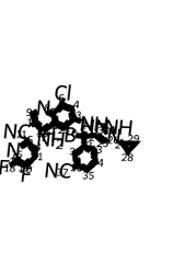 BC(Nc1cc(Cl)c2ncc(C#N)c(Nc3cnc(F)c(F)c3)c2c1)(C1=CN(C2CC2)NN1)c1cccc(C#N)c1